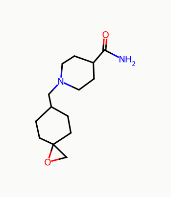 NC(=O)C1CCN(CC2CCC3(CC2)CO3)CC1